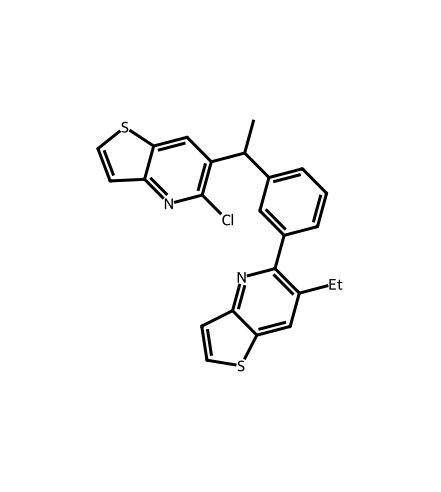 CCc1cc2sccc2nc1-c1cccc(C(C)c2cc3sccc3nc2Cl)c1